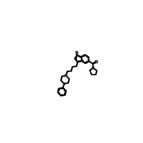 O=C(c1ccc2[nH]cc(CCCCN3CCN(c4ccccc4)CC3)c2c1)N1CCCC1